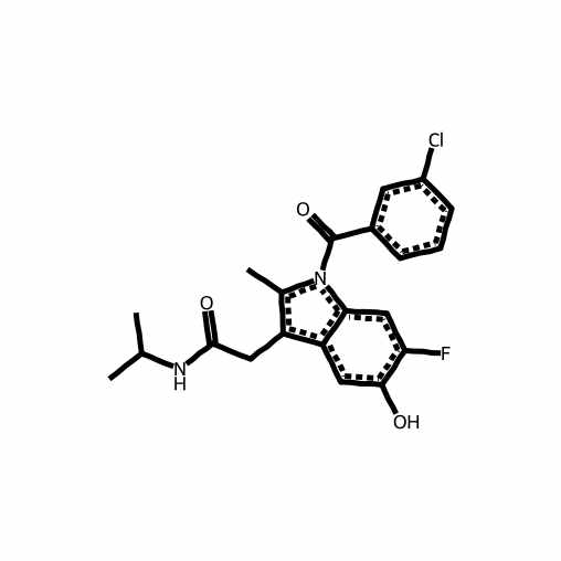 Cc1c(CC(=O)NC(C)C)c2cc(O)c(F)cc2n1C(=O)c1cccc(Cl)c1